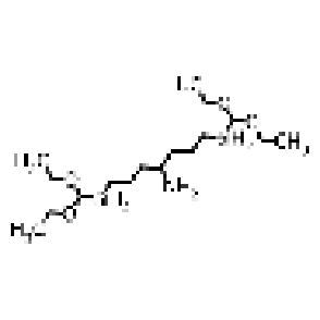 CCOC(OCC)[SiH2]CCCC(N)CCC[SiH2]C(OCC)OCC